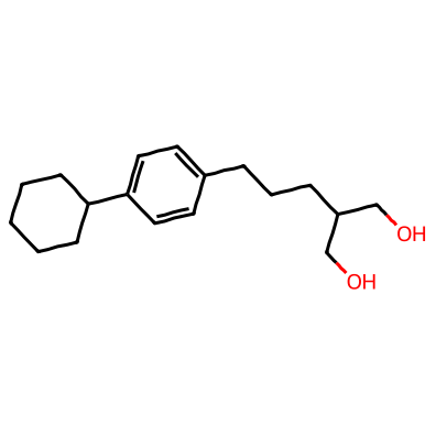 OCC(CO)CCCc1ccc(C2CCCCC2)cc1